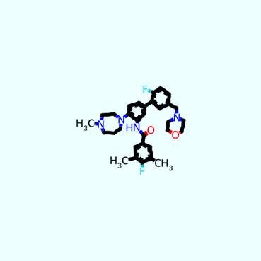 Cc1cc(C(=O)Nc2cc(-c3cc(CN4CCOCC4)ccc3F)ccc2N2CCCN(C)CC2)cc(C)c1F